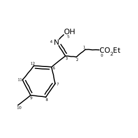 CCOC(=O)CCC(=NO)c1ccc(C)cc1